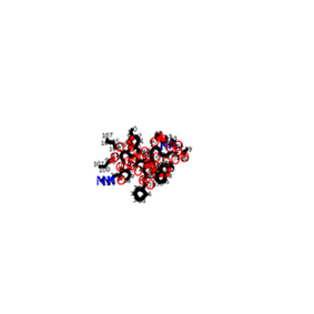 CCCCOC1C(C)OC(OC2C(CN=[N+]=[N-])OCCC2OC2OC(COC(=O)c3ccccc3)C(OC(=O)c3ccccc3)C(OC3(C(=O)OCc4ccccc4)CC(OC(C)=O)C(NC(C)=O)C([C@H](OC(C)=O)[C@@H](COC(C)=O)OC(C)=O)O3)C2OC(=O)c2ccccc2)C(OCCCC)C1OCCCC